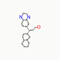 O=CC=C(c1ccc2ccccc2c1)c1ccc2nccnc2c1